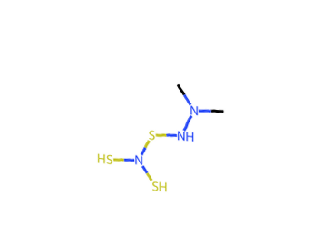 CN(C)NSN(S)S